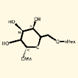 CCCCCCOCC1O[C@H](OC)C(O)[C@@H](O)[C@H]1O